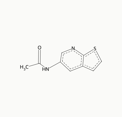 CC(=O)Nc1cnc2sccc2c1